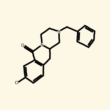 O=C1c2cc(Cl)ccc2CC2CN(Cc3ccccc3)CCN12